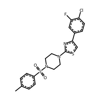 Cc1ccc(S(=O)(=O)N2CCN(c3nc(-c4ccc(Cl)c(F)c4)cs3)CC2)cc1